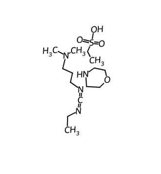 C1COCCN1.CCN=C=NCCCN(C)C.CCS(=O)(=O)O